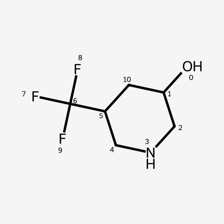 OC1CNCC(C(F)(F)F)C1